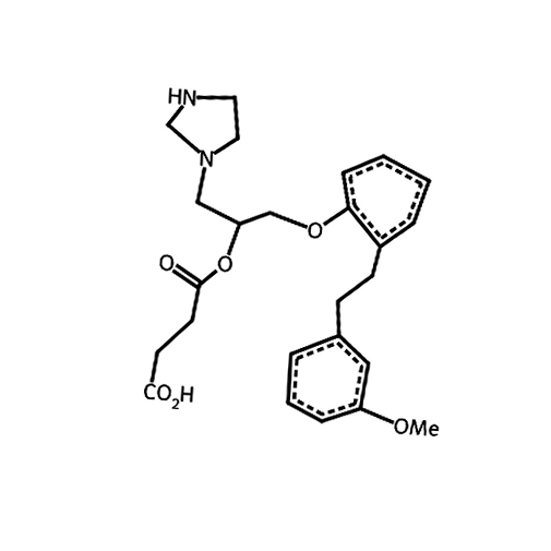 COc1cccc(CCc2ccccc2OCC(CN2CCNC2)OC(=O)CCC(=O)O)c1